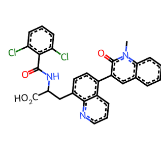 Cn1c(=O)c(-c2ccc(CC(NC(=O)c3c(Cl)cccc3Cl)C(=O)O)c3ncccc23)cc2ccccc21